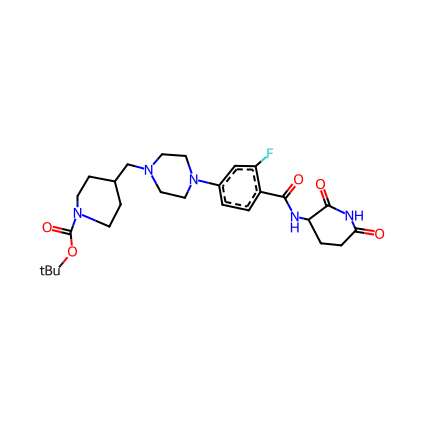 CC(C)(C)OC(=O)N1CCC(CN2CCN(c3ccc(C(=O)NC4CCC(=O)NC4=O)c(F)c3)CC2)CC1